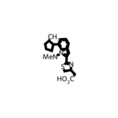 CNn1c(C2=NC(CC(=O)O)CS2)cc2cccc(C3CCCC3C)c21